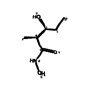 CC[C@H](O)[C@H](C)C(=O)NO